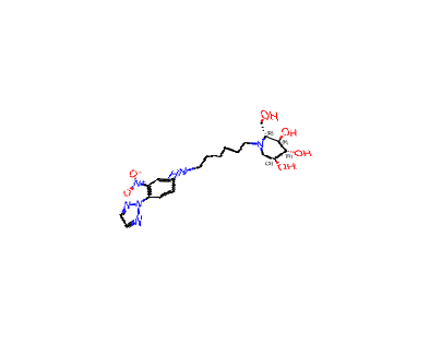 O=[N+]([O-])c1cc(NCCCCCCN2C[C@H](O)[C@@H](O)[C@H](O)[C@H]2CO)ccc1-n1nccn1